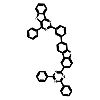 c1ccc(-c2nc(-c3ccccc3)nc(-c3ccc4sc5cc(-c6cccc(-c7nc(-c8ccccc8)c8oc9ccccc9c8n7)c6)ccc5c4c3)n2)cc1